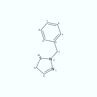 C1=NN(Cc2ccccc2)SC1